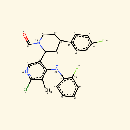 Cc1c(Cl)ncc(C2CC(c3ccc(F)cc3)CCN2C=O)c1Nc1ccccc1F